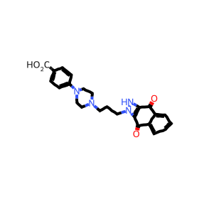 O=C(O)c1ccc(N2CCN(CCCn3[nH]c4c3C(=O)c3ccccc3C4=O)CC2)cc1